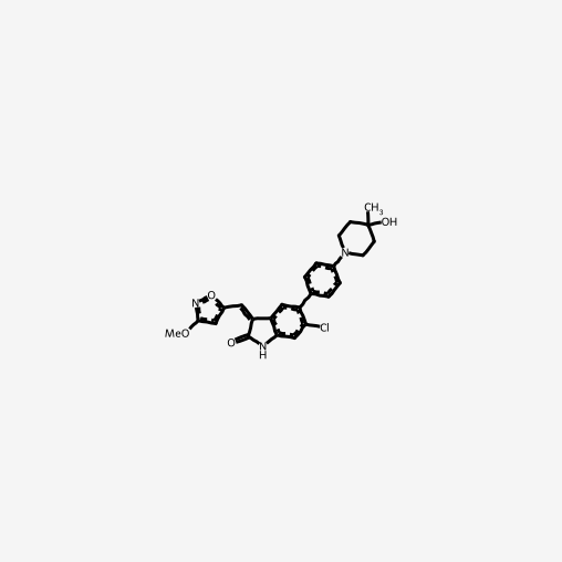 COc1cc(/C=C2\C(=O)Nc3cc(Cl)c(-c4ccc(N5CCC(C)(O)CC5)cc4)cc32)on1